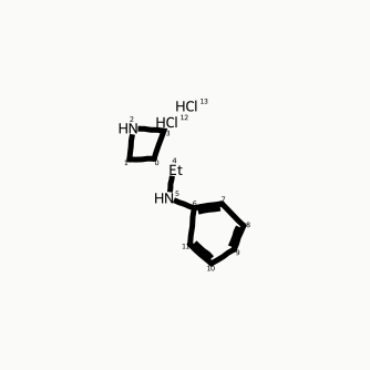 C1CNC1.CCNc1ccccc1.Cl.Cl